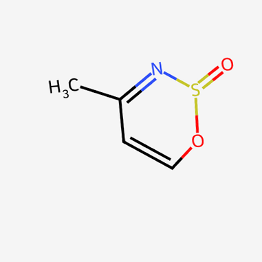 CC1=NS(=O)OC=C1